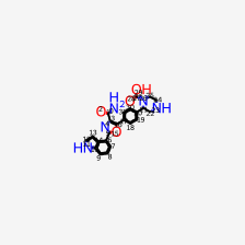 NC(=O)c1nc(-c2cccc3[nH]ccc23)oc1-c1ccc(C2CNCCN2C(=O)O)cc1